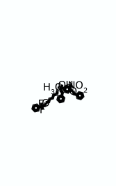 C[C@@](O)(c1ccc(OCc2ccccc2)c([N+](=O)[O-])c1)N(CCCCCCOCC(F)(F)c1ccccc1)Cc1ccccc1